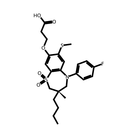 CCCC[C@@]1(C)CN(c2ccc(F)cc2)c2cc(SC)c(OCCC(=O)O)cc2S(=O)(=O)C1